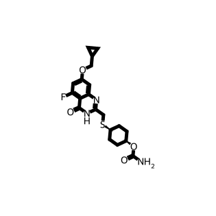 NC(=O)O[C@H]1CC[C@@H](SCc2nc3cc(OCC4CC4)cc(F)c3c(=O)[nH]2)CC1